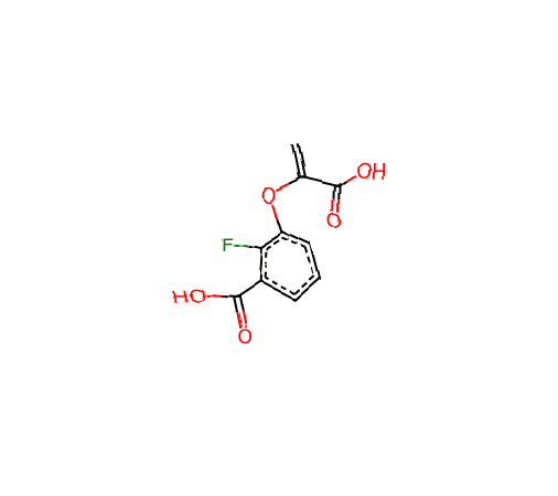 C=C(Oc1cccc(C(=O)O)c1F)C(=O)O